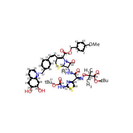 COc1ccc(COC(=O)C2=C(/C=C\c3ccc(C[n+]4cccc5cc(O)c(O)cc54)cc3)CS[C@@H]3[C@H](NC(=O)/C(=N\OC(C)(C)C(=O)OC(C)(C)C)c4csc(NC(=O)OC(C)(C)C)n4)C(=O)N23)cc1